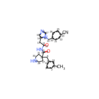 Cc1cccc(CC2(C(=O)NC(=O)Cc3cncn3Cc3ccc(C#N)cc3)CCNCC2)c1